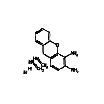 C=N.C=N.I.I.Nc1ccc2c(c1N)Oc1ccccc1C2